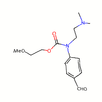 COCCOC(=O)N(CCN(C)C)c1ccc(C=O)cc1